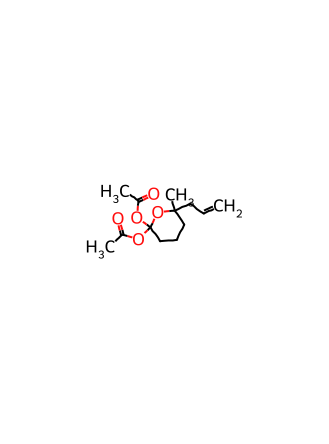 C=CCC1(C)CCCC(OC(C)=O)(OC(C)=O)O1